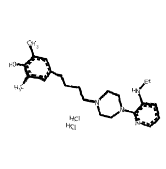 CCNc1cccnc1N1CCN(CCCCc2cc(C)c(O)c(C)c2)CC1.Cl.Cl